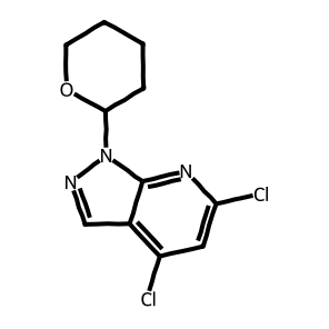 Clc1cc(Cl)c2cnn(C3CCCCO3)c2n1